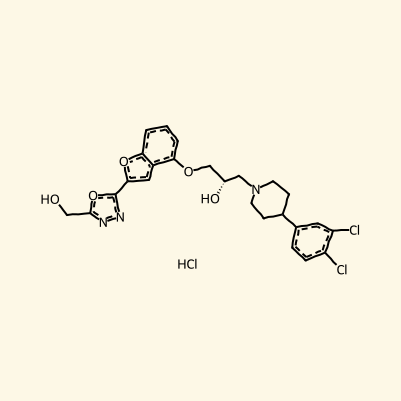 Cl.OCc1nnc(-c2cc3c(OC[C@@H](O)CN4CCC(c5ccc(Cl)c(Cl)c5)CC4)cccc3o2)o1